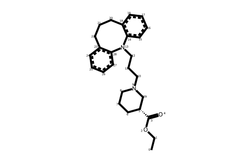 CCOC(=O)[C@@H]1CCCN(CCCN2c3ccccc3CCCc3ccccc32)C1